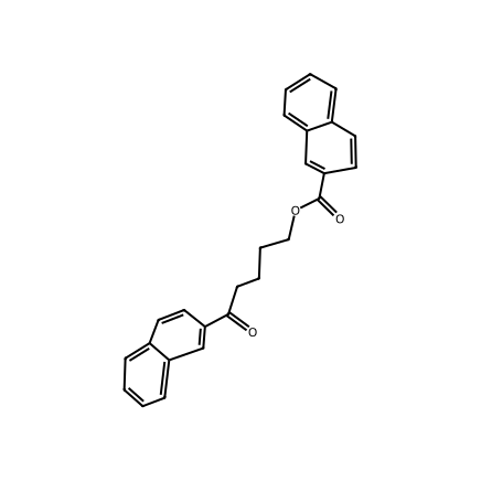 O=C(CCCCOC(=O)c1ccc2ccccc2c1)c1ccc2ccccc2c1